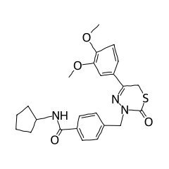 COc1ccc(C2=NN(Cc3ccc(C(=O)NC4CCCC4)cc3)C(=O)SC2)cc1OC